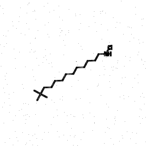 CC(C)(C)CCCCCCCCCCCNCl